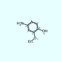 CCOc1cc(N)ccc1O